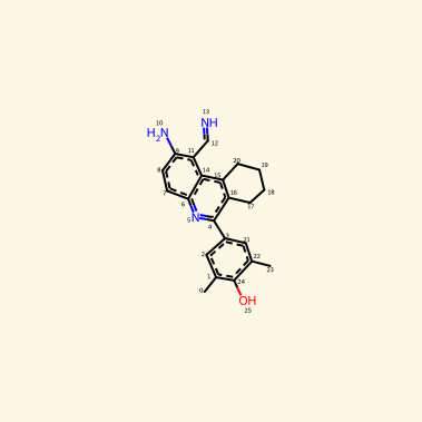 Cc1cc(-c2nc3ccc(N)c(C=N)c3c3c2CCCC3)cc(C)c1O